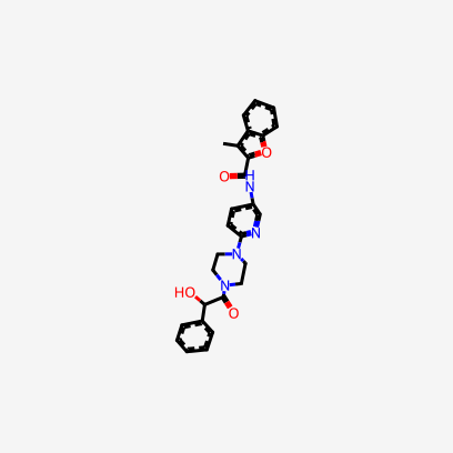 Cc1c(C(=O)Nc2ccc(N3CCN(C(=O)C(O)c4ccccc4)CC3)nc2)oc2ccccc12